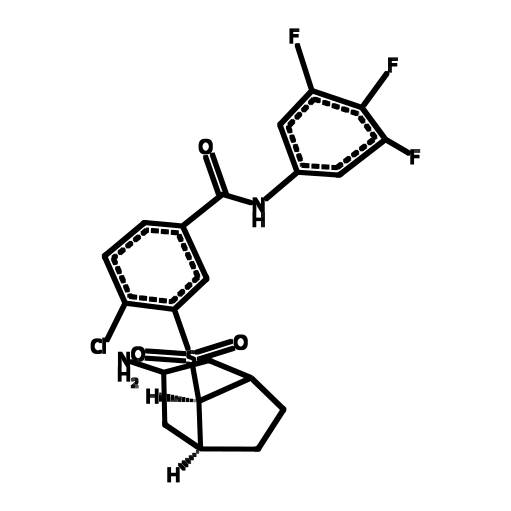 NC1CC2CC[C@@H](C1)[C@H]2S(=O)(=O)c1cc(C(=O)Nc2cc(F)c(F)c(F)c2)ccc1Cl